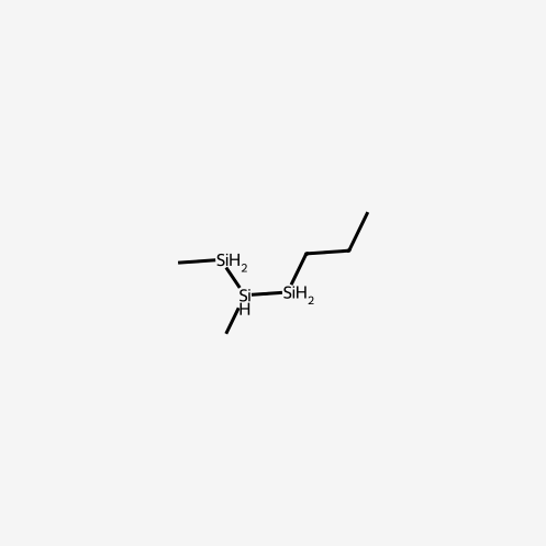 CCC[SiH2][SiH](C)[SiH2]C